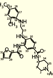 CC(=O)N1CCC(NC(=O)c2ccc(NCCNc3ccc(C)cc3C)c(NC(=O)c3ccco3)c2)CC1